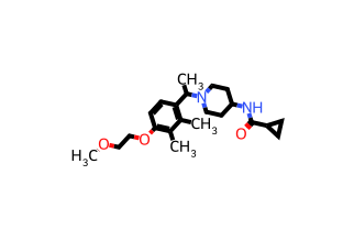 COCCOc1ccc(C(C)N2CCC(NC(=O)C3CC3)CC2)c(C)c1C